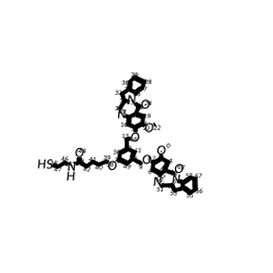 COc1cc2c(cc1OCc1cc(COc3cc4c(cc3OC)C(=O)N3c5ccccc5CC3C=N4)cc(OCCCCC(=O)NCCS)c1)N=CC1Cc3ccccc3N1C2=O